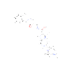 Cc1c(C(=O)NCC(O)CN2CCc3ccccc3C2)nc2cnc(C(/C=C\N(C)C)=C/C=O)cn12